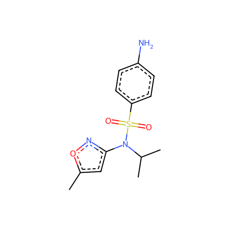 Cc1cc(N(C(C)C)S(=O)(=O)c2ccc(N)cc2)no1